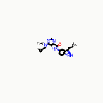 CCCN(CC1CC1)c1cc(C(=O)Nc2ccc3[nH]nc(CCC(C)=O)c3c2)ncn1